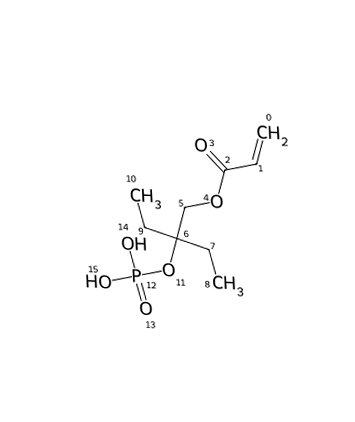 C=CC(=O)OCC(CC)(CC)OP(=O)(O)O